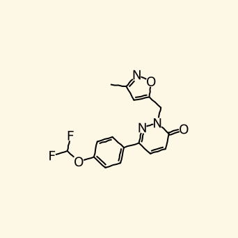 Cc1cc(Cn2nc(-c3ccc(OC(F)F)cc3)ccc2=O)on1